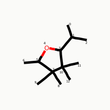 CC(C)C1OC(C)C(C)(C)C1(C)C